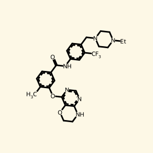 CCN1CCN(Cc2ccc(NC(=O)c3ccc(C)c(Oc4ncnc5c4OCCN5)c3)cc2C(F)(F)F)CC1